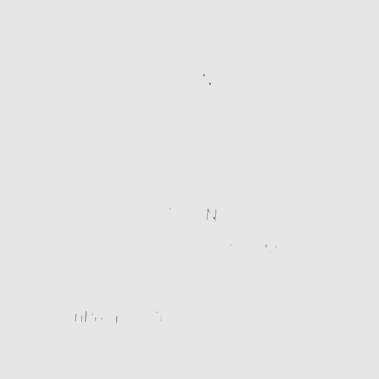 CCCCCOc1ccn(CCCN(C)C)c(=O)c1